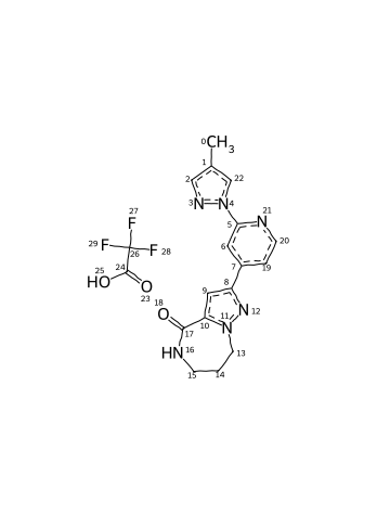 Cc1cnn(-c2cc(-c3cc4n(n3)CCCNC4=O)ccn2)c1.O=C(O)C(F)(F)F